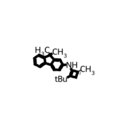 C[C@@H]1CC(C(C)(C)C)=C1Nc1ccc2c(c1)C(C)(C)c1ccccc1-2